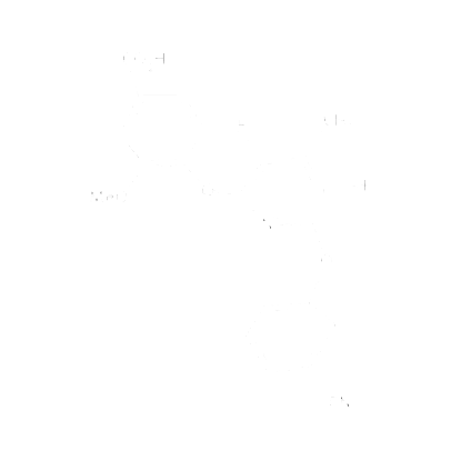 COc1cc(C(=O)O)ccc1Oc1nc(Oc2cccc(C#N)c2)c(F)c(C)c1F